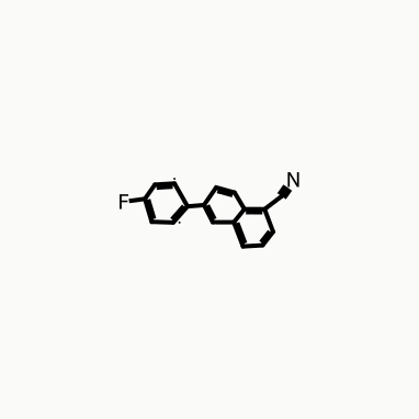 N#Cc1cccc2cc(-c3[c]cc(F)c[c]3)ccc12